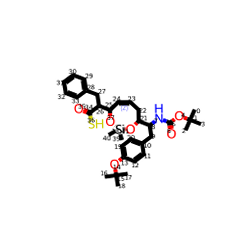 CC(C)(C)OC(=O)NC(Cc1ccc(OC(C)(C)C)cc1)C1C/C=C\C(C(Cc2ccccc2)C(=O)S)O[Si](C)(C)O1